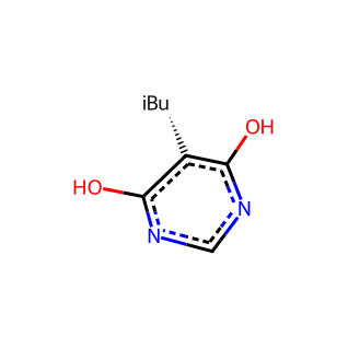 CC[C@@H](C)c1c(O)ncnc1O